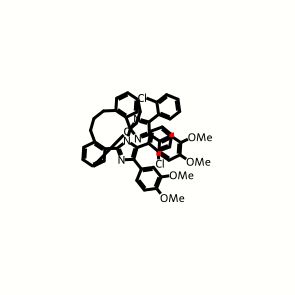 COc1ccc(C2=NC3(N=C2c2ccccc2Cl)c2cc4ccc2CCCc2ccc(cc2-c2nc(-c5ccc(OC)c(OC)c5)c(-c5ccccc5Cl)n23)CCC4)cc1OC